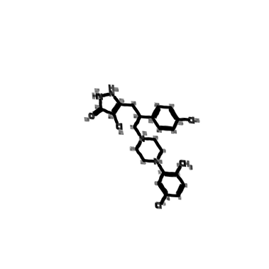 Cc1ccc(Cl)cc1N1CCN(CC(Cc2[nH][nH]c(=O)c2Cl)c2ccc(Cl)cc2)CC1